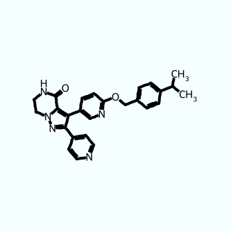 CC(C)c1ccc(COc2ccc(-c3c(-c4ccncc4)nn4c3C(=O)NCC4)cn2)cc1